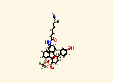 N#C[Se]CCCCCC(=O)Nc1ccc(C2=C(c3ccc(O)cc3)C3CC(S(=O)(=O)OC(F)(F)F)C2(c2ccccc2)O3)cc1